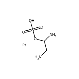 NCC(N)OS(=O)(=O)O.[Pt]